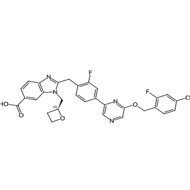 O=C(O)c1ccc2nc(Cc3ccc(-c4cncc(OCc5ccc(Cl)cc5F)n4)cc3F)n(C[C@@H]3CCO3)c2c1